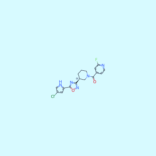 O=C(c1ccnc(F)c1)N1CCC[C@H](c2noc(-c3cc(Cl)c[nH]3)n2)C1